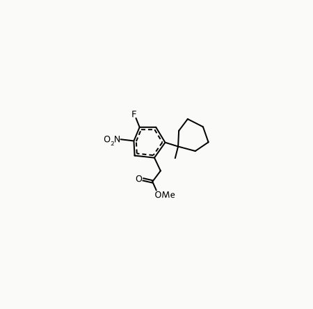 COC(=O)Cc1cc([N+](=O)[O-])c(F)cc1C1(C)CCCCC1